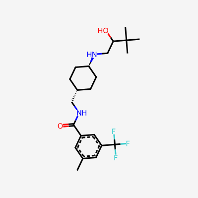 Cc1cc(C(=O)NC[C@H]2CC[C@H](NCC(O)C(C)(C)C)CC2)cc(C(F)(F)F)c1